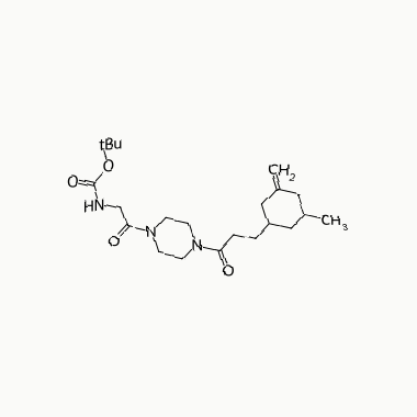 C=C1CC(C)CC(CCC(=O)N2CCN(C(=O)CNC(=O)OC(C)(C)C)CC2)C1